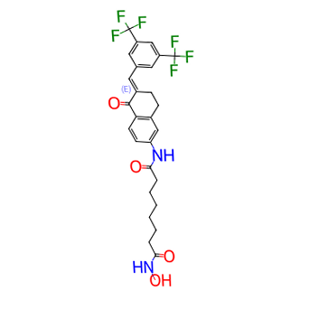 O=C(CCCCCCC(=O)Nc1ccc2c(c1)CC/C(=C\c1cc(C(F)(F)F)cc(C(F)(F)F)c1)C2=O)NO